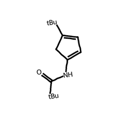 CC(C)(C)C(=O)NC1=CC=C(C(C)(C)C)C1